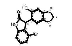 O=C1Nc2cccc(Br)c2C1c1cc2c(cc1O)OCO2